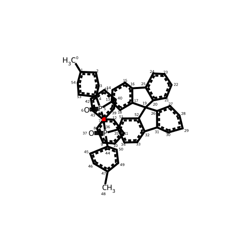 Cc1ccc(P(=O)(c2ccccc2)c2ccc3c(c2)C2(c4ccccc4-3)c3ccccc3-c3ccc(P(=O)(c4ccccc4)c4ccc(C)cc4)cc32)cc1